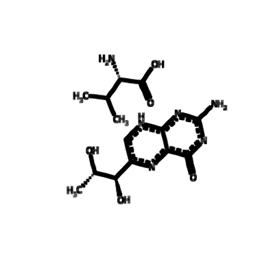 CC(C)[C@H](N)C(=O)O.C[C@H](O)[C@H](O)c1c[nH]c2nc(N)nc(=O)c-2n1